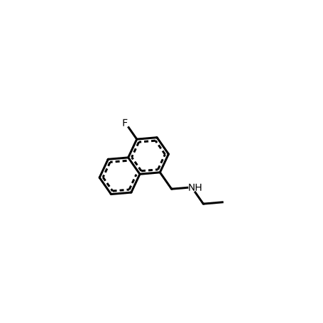 CCNCc1ccc(F)c2ccccc12